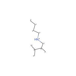 CCCCNCC(C)C(C)C